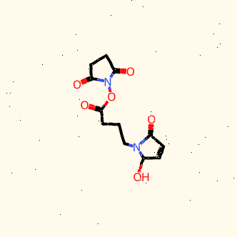 O=C(CCCN1C(=O)C=CC1O)ON1C(=O)CCC1=O